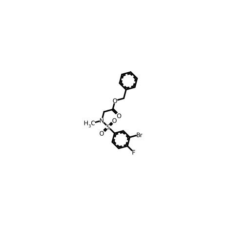 CN(CC(=O)OCc1ccccc1)S(=O)(=O)c1ccc(F)c(Br)c1